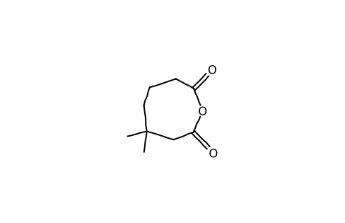 CC1(C)CCCC(=O)OC(=O)C1